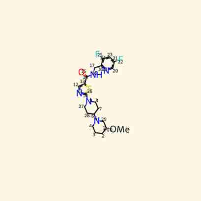 CO[C@@H]1CCCN(C2CCN(c3ncc(C(=O)NCc4ncc(F)cc4F)s3)CC2)C1